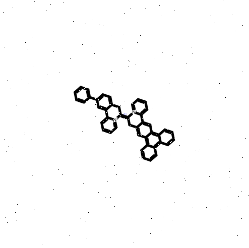 c1ccc(-c2ccc3c(c2)-c2cccc[n+]2/C(=C2\Cc4cc5c6ccccc6c6ccccc6c5cc4-c4cccc[n+]42)C3)cc1